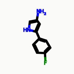 Nc1c[nH]c(-c2ccc(F)cc2)c1